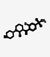 CS(=O)(=O)c1ccc(NC2CCCN(C3CCNCC3)C2=O)c(F)c1